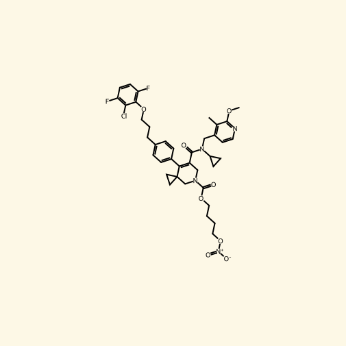 COc1nccc(CN(C(=O)C2=C(c3ccc(CCCOc4c(F)ccc(F)c4Cl)cc3)C3(CC3)CN(C(=O)OCCCCO[N+](=O)[O-])C2)C2CC2)c1C